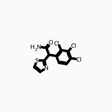 NC(=O)C(c1nccs1)c1ccc(Cl)c(Cl)c1Cl